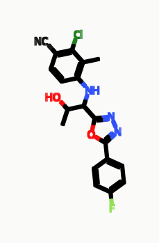 Cc1c(NC(c2nnc(-c3ccc(F)cc3)o2)C(C)O)ccc(C#N)c1Cl